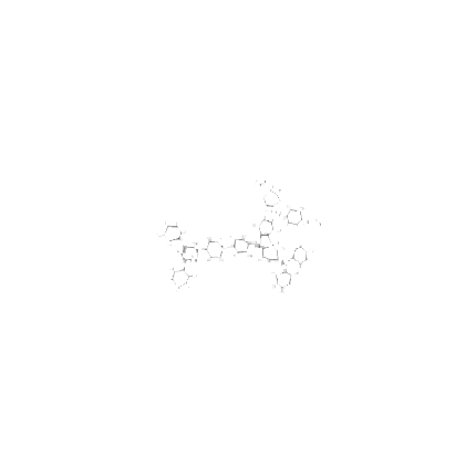 N#Cc1ccc(N(c2ccc(C#N)cc2)c2ccc3c(c2)c2cc(N(c4ccccc4)c4ccccc4)ccc2n3-c2ccc(-c3ccc(-c4cc(-c5ccccc5)nc(-c5ccccc5)n4)cc3)cc2)cc1